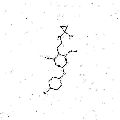 CCCCCC1=NC(OC2CCC(C#N)CC2)=CC(O)N1CCNC1(C#N)CC1